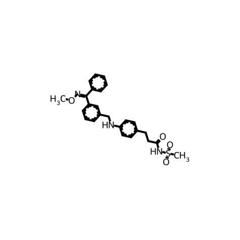 CO/N=C(/c1ccccc1)c1cccc(CNc2ccc(CCC(=O)NS(C)(=O)=O)cc2)c1